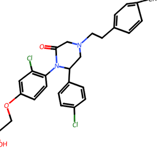 N#Cc1ccc(CCN2CC(=O)N(c3ccc(OCCO)cc3Cl)C(c3ccc(Cl)cc3)C2)cc1